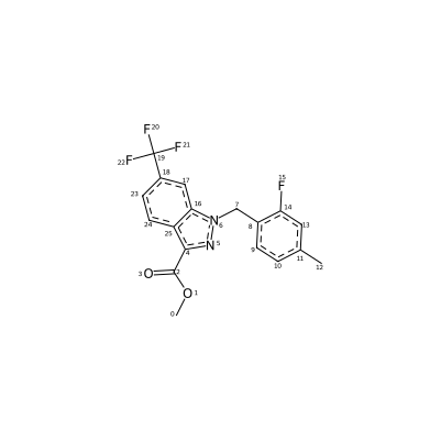 COC(=O)c1nn(Cc2ccc(C)cc2F)c2cc(C(F)(F)F)ccc12